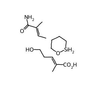 C/C(=C\CCO)C(=O)O.C/C=C(\C)C(N)=O.C1CC[SiH2]OC1